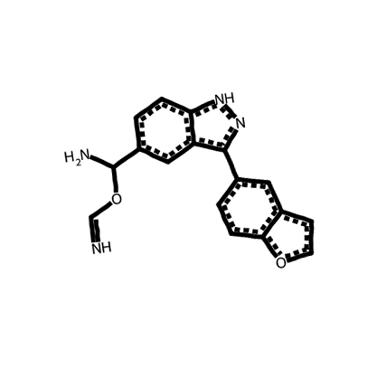 N=COC(N)c1ccc2[nH]nc(-c3ccc4occc4c3)c2c1